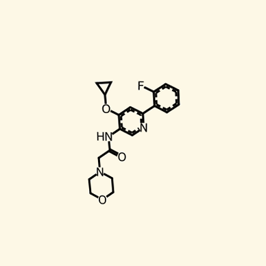 O=C(CN1CCOCC1)Nc1cnc(-c2ccccc2F)cc1OC1CC1